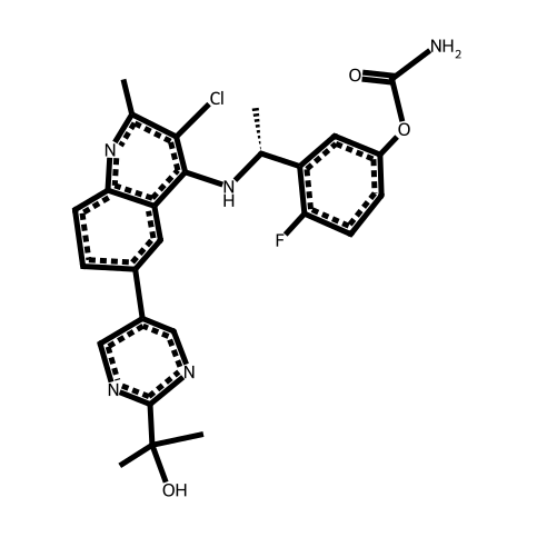 Cc1nc2ccc(-c3cnc(C(C)(C)O)nc3)cc2c(N[C@H](C)c2cc(OC(N)=O)ccc2F)c1Cl